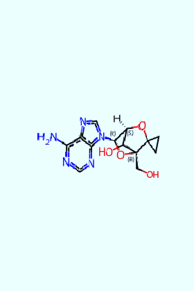 Nc1ncnc2c1ncn2[C@@H]1O[C@]2(CO)C(O)[C@@H]1OC21CC1